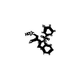 O=C(O)CC(=O)c1cc2ccccc2n1S(=O)(=O)c1ccccc1